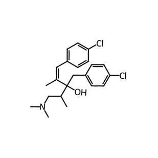 C/C(=C/c1ccc(Cl)cc1)C(O)(Cc1ccc(Cl)cc1)C(C)CN(C)C